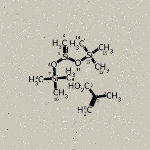 C=C(C)C(=O)O.C[SiH](O[Si](C)(C)C)O[Si](C)(C)C